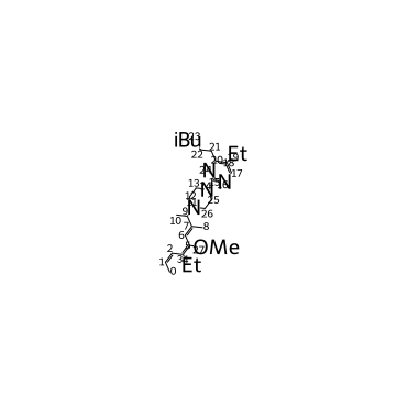 C\C=C/C(CC)=C(\C=C(/C)C(C)N1CCN(c2ncc(CC)c(CC[C@H](C)CC)n2)CC1)OC